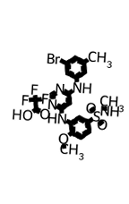 CNS(=O)(=O)c1ccc(OC)c(Nc2cc(Nc3cc(C)cc(Br)c3)ncn2)c1.O=C(O)C(F)(F)F